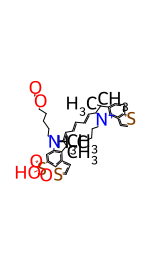 CCCC[N+]1=C(/C=C/C=C/C=C2/N(CCCCCOC=O)c3cc(S(=O)(=O)O)c4sccc4c3C2(C)C)C(C)(C)c2ccc3sccc3c21